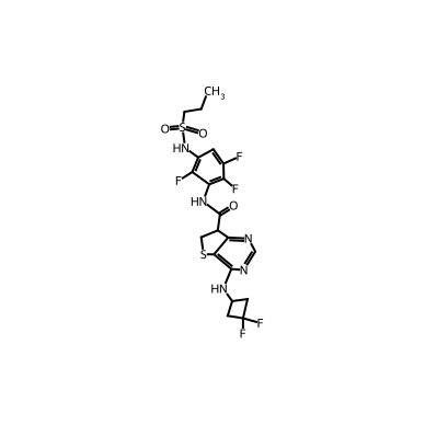 CCCS(=O)(=O)Nc1cc(F)c(F)c(NC(=O)C2CSc3c(NC4CC(F)(F)C4)ncnc32)c1F